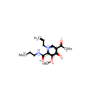 C=CCn1cc(C(=O)OC)c(=O)c(OCCCC)c1C(=O)NCCOC